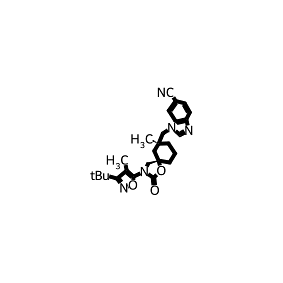 Cc1c(C(C)(C)C)noc1N1C[C@@]2(CCC[C@](C)(Cn3cnc4ccc(C#N)cc43)C2)OC1=O